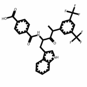 CC(C(=O)C(Cc1c[nH]c2ccccc12)NC(=O)c1ccc(C(=O)O)cc1)c1cc(C(F)(F)F)cc(C(F)(F)F)c1